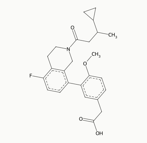 COc1ccc(CC(=O)O)cc1-c1ccc(F)c2c1CN(C(=O)CC(C)C1CC1)CC2